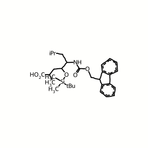 CC(C)CC(NC(=O)OCC1c2ccccc2-c2ccccc21)C(CC(C)C(=O)O)O[Si](C)(C)C(C)(C)C